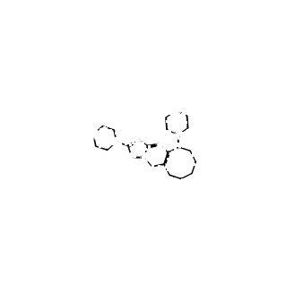 C1CCC2=C(N=C3N=C(N4CCOCC4)NN3C2)C(N2CCOCC2)CC1